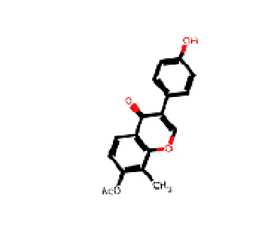 CC(=O)Oc1ccc2c(=O)c(-c3ccc(O)cc3)coc2c1C